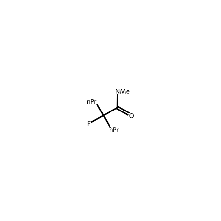 CCCC(F)(CCC)C(=O)NC